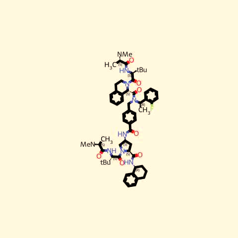 CN[C@@H](C)C(=O)N[C@H](C(=O)N1CCc2ccccc2[C@H]1C(=O)N(Cc1ccc(C(=O)N[C@H]2C[C@@H](C(=O)N[C@@H]3CCCc4ccccc43)N(C(=O)[C@@H](NC(=O)[C@H](C)NC)C(C)(C)C)C2)cc1)[C@H](C)c1ccccc1F)C(C)(C)C